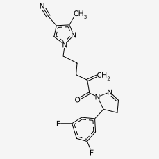 C=C(CCCn1cc(C#N)c(C)n1)C(=O)N1N=CCC1c1cc(F)cc(F)c1